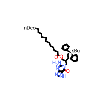 CCCCCCCCCCCCCCCCCCCCCC(=O)OCC(CC[Si](c1ccccc1)(c1ccccc1)C(C)(C)C)Cn1c(N)nc2nc[nH]c2c1=O